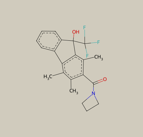 Cc1c(C)c2c(c(C)c1C(=O)N1CCC1)C(O)(C(F)(F)F)c1ccccc1-2